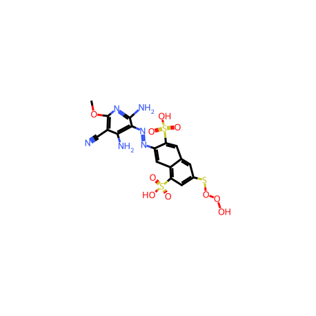 COc1nc(N)c(/N=N/c2cc3c(S(=O)(=O)O)cc(SOOO)cc3cc2S(=O)(=O)O)c(N)c1C#N